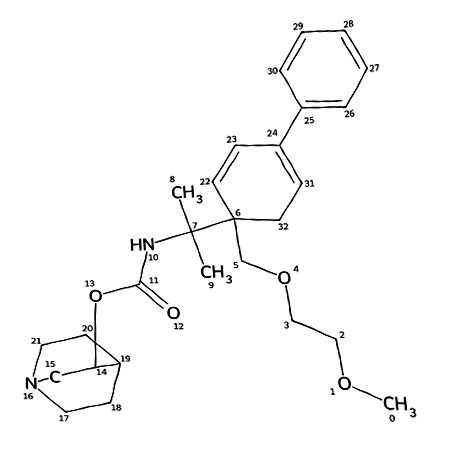 COCCOCC1(C(C)(C)NC(=O)OC2CN3CCC2CC3)C=CC(c2ccccc2)=CC1